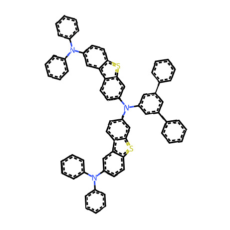 c1ccc(-c2cc(-c3ccccc3)cc(N(c3ccc4c(c3)sc3ccc(N(c5ccccc5)c5ccccc5)cc34)c3ccc4c(c3)sc3ccc(N(c5ccccc5)c5ccccc5)cc34)c2)cc1